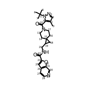 Cc1cnn(C(C)(C)C)c1C(=O)N1CCC2(CC1)CC2CNC(=O)c1cc2ccncc2o1